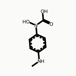 CNc1ccc(N(O)C(=O)O)cc1